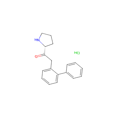 Cl.O=C(Cc1ccccc1-c1ccccc1)[C@H]1CCCN1